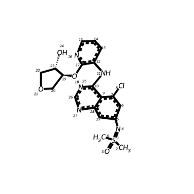 CS(C)(=O)=Nc1cc(Cl)c2c(Nc3cccnc3O[C@H]3COC[C@@H]3O)ncnc2c1